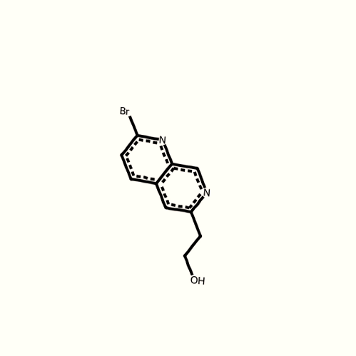 OCCc1cc2ccc(Br)nc2cn1